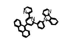 c1ccc(-c2cc(-c3c4ccccc4cc4ccccc34)cc(-c3cccc(-n4c5ccccc5c5ncccc54)c3)n2)nc1